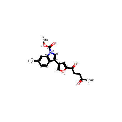 COC(=O)CCC(=O)c1cc(-c2cn(C(=O)OC(C)(C)C)c3cc(C)ccc23)co1